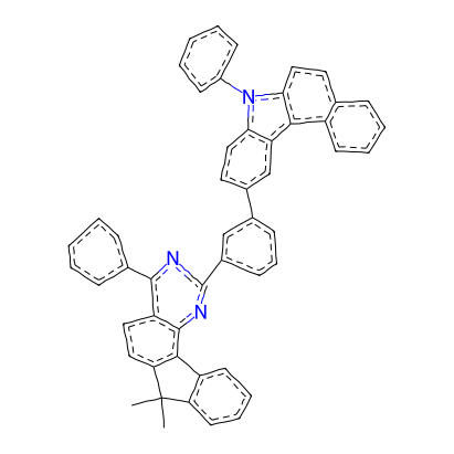 CC1(C)c2ccccc2-c2c1ccc1c(-c3ccccc3)nc(-c3cccc(-c4ccc5c(c4)c4c6ccccc6ccc4n5-c4ccccc4)c3)nc21